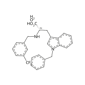 O.O=C(O)[C@H](Cc1cn(Cc2ccccc2)c2ccccc12)NCc1cccc(C(F)(F)F)c1